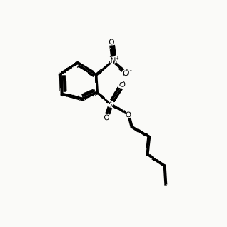 CCCCCOS(=O)(=O)c1ccccc1[N+](=O)[O-]